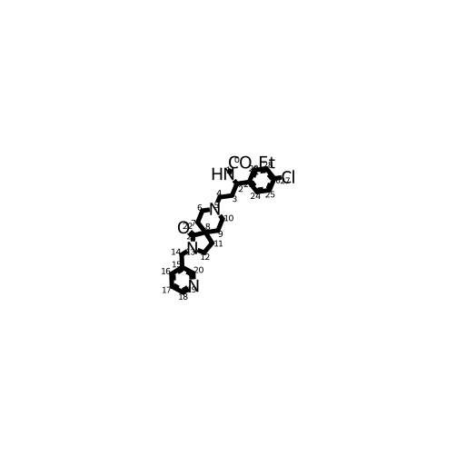 CCOC(=O)NC(CCN1CCC2(CC1)CCN(Cc1cccnc1)C2=O)c1ccc(Cl)cc1